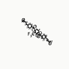 O=C(Oc1ccc(OC(=O)C2CCC(CCC3CO3)CC2)c(C(F)(F)F)c1C(F)(F)F)C1CCC(CCC2CO2)CC1